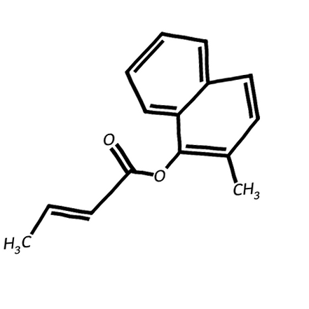 C/C=C/C(=O)Oc1c(C)ccc2ccccc12